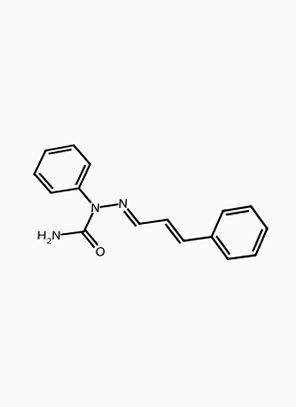 NC(=O)N(/N=C/C=C/c1ccccc1)c1ccccc1